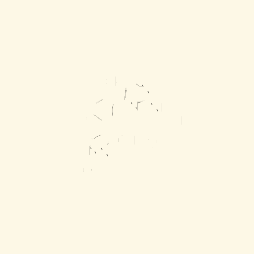 Cc1nn(C2CCCCO2)c2c1-c1cc(-c3nc(N[C@@H]4CCOC[C@H]4O)ncc3Cl)ccc1OC2